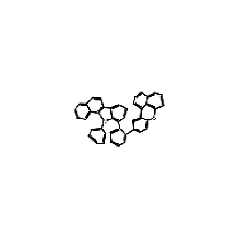 c1ccc(-n2c3c(-c4ccccc4-c4ccc5c(c4)-c4cccc6cccc(c46)S5)cccc3c3ccc4ccccc4c32)cc1